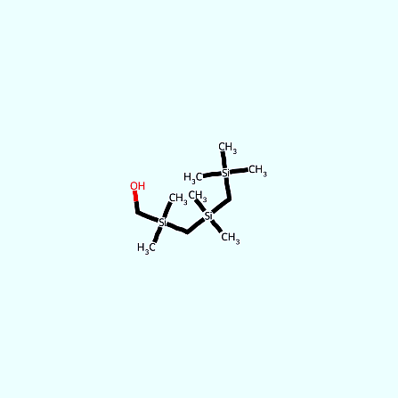 C[Si](C)(C)C[Si](C)(C)C[Si](C)(C)CO